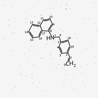 C=Cc1ccc(CNc2cccc3ccccc23)cc1